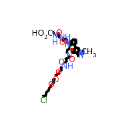 Cn1ncc2cc(F)c(-c3cccc4c3c(C3CCN(C(=O)CCC(=O)NCCOCCOCCOCCCCCCCl)CC3)nn4CC(=O)NCC(=O)NCC(=O)O)cc21